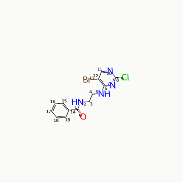 O=C(NCCNc1nc(Cl)ncc1Br)c1ccccc1